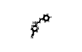 N#Cc1cnc(NCCc2ccccc2)nc1